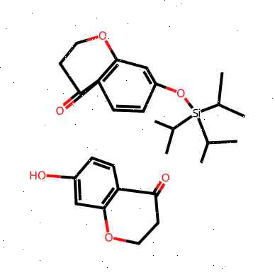 CC(C)[Si](Oc1ccc2c(c1)OCCC2=O)(C(C)C)C(C)C.O=C1CCOc2cc(O)ccc21